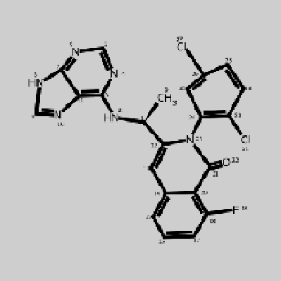 C[C@H](Nc1ncnc2[nH]cnc12)c1cc2cccc(F)c2c(=O)n1-c1cc(Cl)ccc1Cl